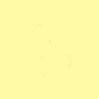 CC1(C)SC2=C(c3cc(-n4c5ccccc5c5ccccc54)cc4c3B2c2cc3c(cc2N4c2ccccc2)Oc2cc(-n4c5ccccc5c5ccccc54)cc4c2B3c2ccccc2C4)C1(C)C